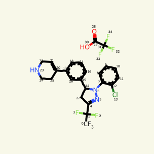 FC(F)(F)C(F)(F)C1=NN(c2ccccc2Cl)C(c2cccc(C3=CCNCC3)c2)C1.O=C(O)C(F)(F)F